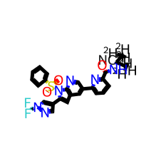 [2H]C([2H])([2H])C(C#N)(NC(=O)c1cccc(-c2cnc3c(c2)cc(-c2cnn(C(F)F)c2)n3S(=O)(=O)c2ccccc2)n1)C([2H])([2H])[2H]